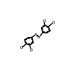 Clc1ccc(N=Nc2ccc(Cl)c(Cl)c2)cc1Cl